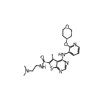 Cc1c(C(=O)NCCN(C)C)sc2ncnc(Nc3cccnc3OC3CCOCC3)c12